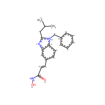 CC(C)Cc1nc2cc(C=CC(=O)NO)ccc2n1Cc1ccccc1